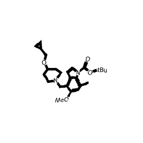 COc1cc(C)c2c(ccn2C(=O)OC(C)(C)C)c1CN1CCC(OCC2CC2)CC1